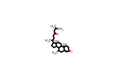 CC(C)CC(=O)CCC(C)C1CCC2C3C(C)CC4=CC(=O)CCC4(C)C3CCC12C